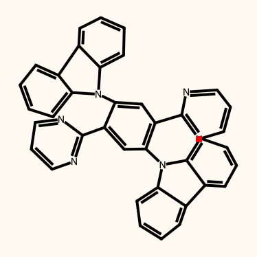 c1cnc(-c2cc(-n3c4ccccc4c4ccccc43)c(-c3ncccn3)cc2-n2c3ccccc3c3ccccc32)nc1